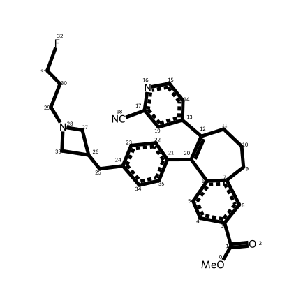 COC(=O)c1ccc2c(c1)CCCC(c1ccnc(C#N)c1)=C2c1ccc(CC2CN(CCCF)C2)cc1